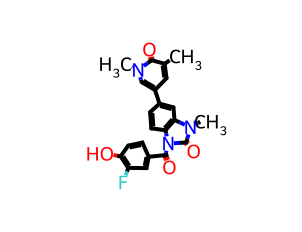 Cc1cc(-c2ccc3c(c2)n(C)c(=O)n3C(=O)c2ccc(O)c(F)c2)cn(C)c1=O